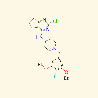 CCOc1cc(CN2CCC(Nc3nc(Cl)nc4c3CCC4)CC2)cc(OCC)c1F